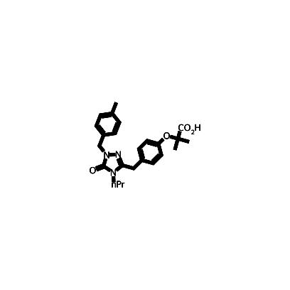 CCCn1c(Cc2ccc(OC(C)(C)C(=O)O)cc2)nn(Cc2ccc(C)cc2)c1=O